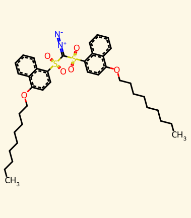 CCCCCCCCCOc1ccc(S(=O)(=O)C(=[N+]=[N-])S(=O)(=O)c2ccc(OCCCCCCCCC)c3ccccc23)c2ccccc12